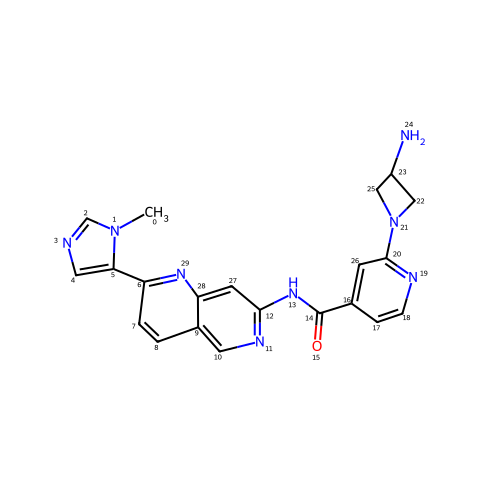 Cn1cncc1-c1ccc2cnc(NC(=O)c3ccnc(N4CC(N)C4)c3)cc2n1